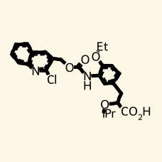 CCOc1ccc(CC(OC(C)C)C(=O)O)cc1NC(=O)OCc1cc2ccccc2nc1Cl